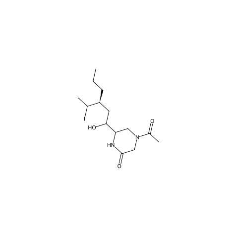 CCC[C@@H](CC(O)C1CN(C(C)=O)CC(=O)N1)C(C)I